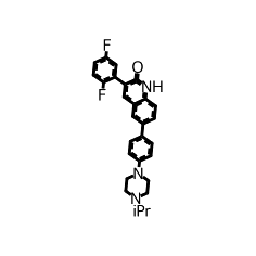 CC(C)N1CCN(c2ccc(-c3ccc4[nH]c(=O)c(-c5cc(F)ccc5F)cc4c3)cc2)CC1